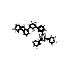 c1ccc(-c2nc(-c3ccccc3)nc(-c3cccc(-c4cccc(-c5cccc6c5Cc5cccnc5-6)c4)c3)n2)cc1